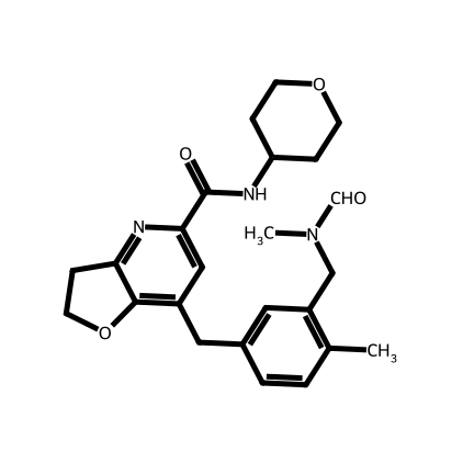 Cc1ccc(Cc2cc(C(=O)NC3CCOCC3)nc3c2OCC3)cc1CN(C)C=O